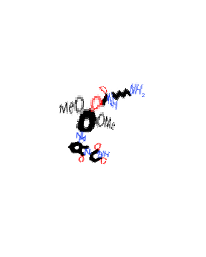 COc1cc(/N=N/c2cccc3c2CN(C2CCC(=O)NC2=O)C3=O)cc(OC)c1OCC(=O)NCCCCCCN